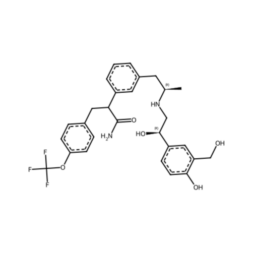 C[C@H](Cc1cccc(C(Cc2ccc(OC(F)(F)F)cc2)C(N)=O)c1)NC[C@H](O)c1ccc(O)c(CO)c1